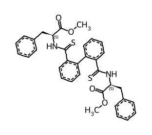 COC(=O)[C@H](Cc1ccccc1)NC(=S)c1ccccc1-c1ccccc1C(=S)N[C@@H](Cc1ccccc1)C(=O)OC